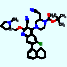 CN1CCC[C@H]1COc1nc2cc(-c3cccc4c3CCCC4)c(Cl)cc2c(N2CCN(C(=O)OC(C)(C)C)C(CC#N)C2)c1C#N